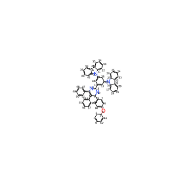 C1=CCC(Oc2ccc(-c3nc(C4=CC(n5c6ccccc6c6ccccc65)CC(n5c6ccccc6c6ccccc65)=C4)nc(-c4ccccc4)c3-c3ccccc3)cc2)C=C1